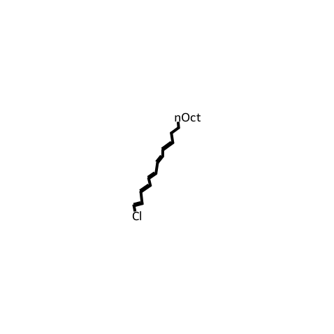 CCCCCCCCCCC=CC=CC=CC=CC=CCl